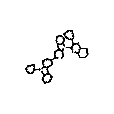 C1=Cc2nc(-c3ccccc3)c(-n3c4ccccc4c4cc(-c5ccc6c(c5)c5ccccc5n6-c5ccccc5)ccc43)nc2CC1